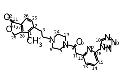 Cc1c(CCN2CCN(C(=O)Cc3cccc(-n4cnnn4)n3)CC2)ccc2c1COC2=O